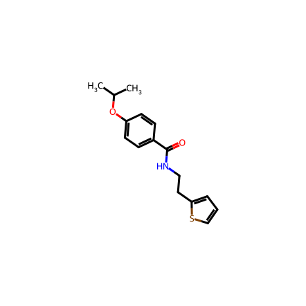 CC(C)Oc1ccc(C(=O)NCCc2cccs2)cc1